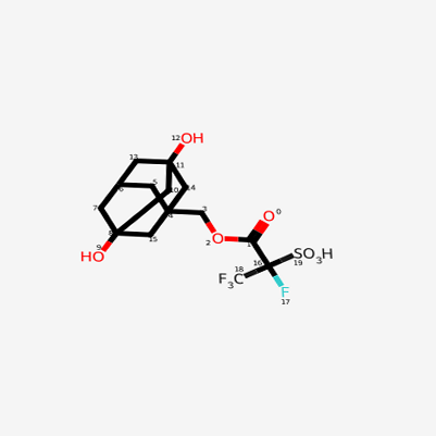 O=C(OCC12CC3CC(O)(CC(O)(C3)C1)C2)C(F)(C(F)(F)F)S(=O)(=O)O